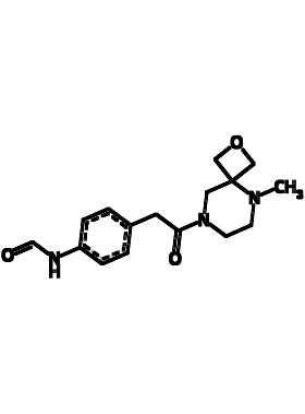 CN1CCN(C(=O)Cc2ccc(NC=O)cc2)CC12COC2